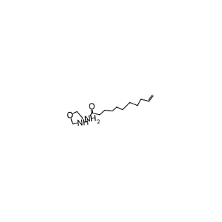 C1COCN1.C=CCCCCCCCCC(N)=O